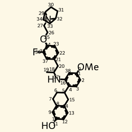 COc1ccc(C2CCc3cc(O)ccc3C2)c(NC(C)Cc2ccc(OCCN3C4CCC3CC4)c(F)c2)c1